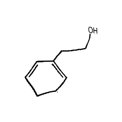 OCCC1=C[CH]CC=C1